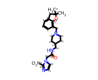 CC1(C)Cc2cccc(CN3CCC(CNC(=O)Cn4ccnc4[N+](=O)[O-])CC3)c2O1